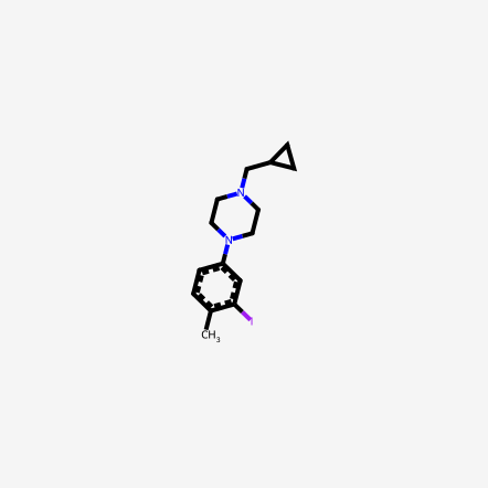 Cc1ccc(N2CCN(CC3CC3)CC2)cc1I